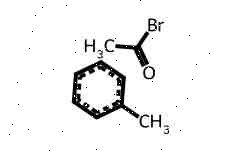 CC(=O)Br.Cc1ccccc1